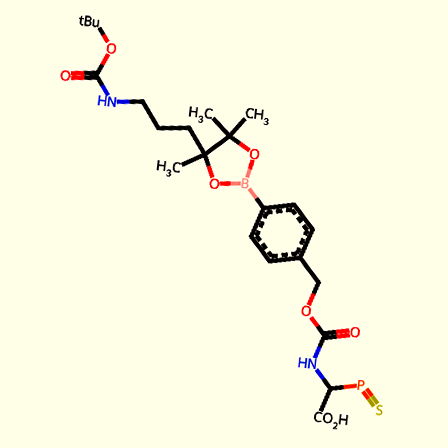 CC(C)(C)OC(=O)NCCCC1(C)OB(c2ccc(COC(=O)NC(P=S)C(=O)O)cc2)OC1(C)C